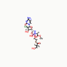 CC(C)OC(=O)[C@H](C)N[PH](O)(OCCSC(=O)C(C)(C)CO)OC[C@H]1O[C@@H](n2ccc(N)nc2=O)[C@](C)(Cl)[C@@H]1O